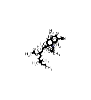 CCCC(C)(C)CC[C@@](C)(CCC(C)(C)[C@]1(C)CC[C@H]2[C@H](C)C(=O)C(C#N)=C[C@]2(C)/C1=C/C(C)=O)OC(C)=O